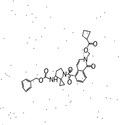 O=C(NC1CCN(S(=O)(=O)c2cccc3c(=O)n(COC(=O)C4CCC4)ccc23)C12CC2)OCc1ccccc1